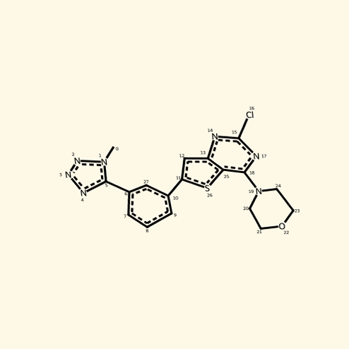 Cn1nnnc1-c1cccc(-c2cc3nc(Cl)nc(N4CCOCC4)c3s2)c1